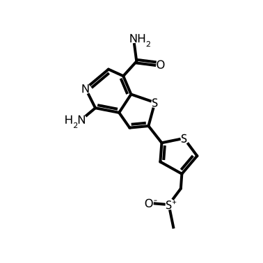 C[S+]([O-])Cc1csc(-c2cc3c(N)ncc(C(N)=O)c3s2)c1